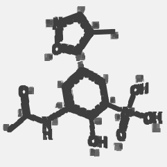 CC(=O)Nc1cccc([As](=O)(O)O)c1O.Cc1cnoc1